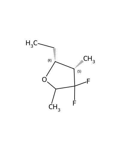 CC[C@H]1OC(C)C(F)(F)[C@H]1C